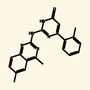 Cc1ccc2nc(Nc3nc(-c4ccccc4C)cc(=O)[nH]3)nc(C)c2c1